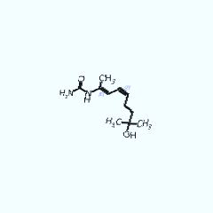 C/C(=C\C=C/CCC(C)(C)O)NC(N)=O